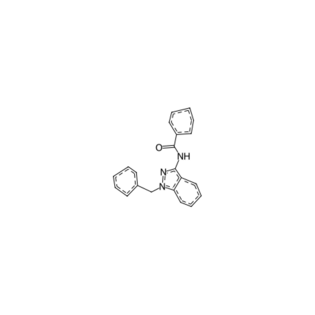 O=C(Nc1nn(Cc2ccccc2)c2ccccc12)c1ccccc1